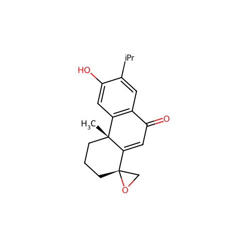 CC(C)c1cc2c(cc1O)[C@@]1(C)CCC[C@]3(CO3)C1=CC2=O